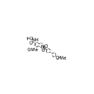 COc1ccc(-c2ccc(S(=O)(=O)N3CCc4cc(C(=O)NO)cc(OC)c4C3)cc2)cc1